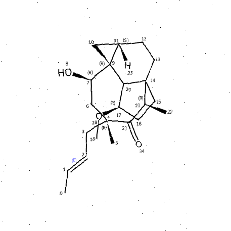 C/C=C/C[C@]1(C)C[C@@H](O)[C@]23C[C@@H]2CCC2(CC[C@@H](OC)C23)[C@@H](C)C1=O